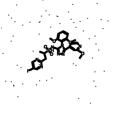 COc1cc(-c2nnc(NS(=O)(=O)C(C)Cc3ncc(F)cn3)n2-c2c(OC)cccc2OC)ccn1